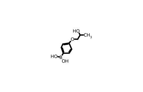 CC(O)COc1ccc(B(O)O)cc1